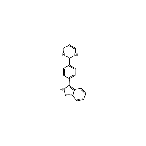 C1=CNC(c2ccc(-c3[nH]cc4ccccc34)cc2)NC1